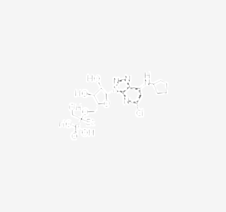 CCC(CO)(OC[C@H]1O[C@@H](n2nnc3c(NC4CCCC4)cc(Cl)nc32)[C@H](O)[C@@H]1O)P(=O)(O)O